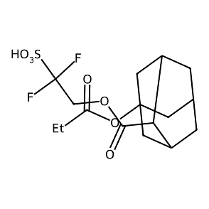 CCC(=O)OC12CC3CC(C1)C(C(=O)OCC(F)(F)S(=O)(=O)O)C(C3)C2